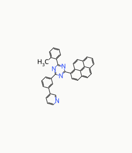 Cc1ccccc1-c1nc(-c2cccc(-c3cccnc3)c2)nc(-c2ccc3ccc4cccc5ccc2c3c45)n1